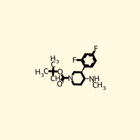 CN[C@@H]1CCN(C(=O)OC(C)(C)C)C[C@H]1c1ccc(F)cc1F